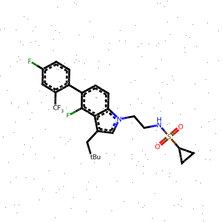 CC(C)(C)Cc1cn(CCNS(=O)(=O)C2CC2)c2ccc(-c3ccc(F)cc3C(F)(F)F)c(F)c12